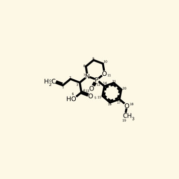 C=CCC(C(=O)O)N1CCCOP1(=O)c1ccc(OC)cc1